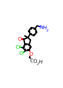 CC1(c2ccc(CN)cc2)Cc2cc(OCC(=O)O)c(Cl)c(Cl)c2C1=O